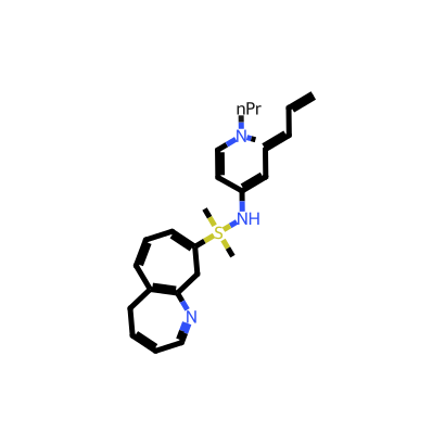 C=C/C=C/C=C(\C=C/N(C)CCC)NS(C)(C)C1=CC=CC2=C(C1)N=CC=CC2